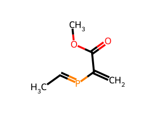 C=C(P=CC)C(=O)OC